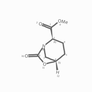 COC(=O)[C@H]1CC[C@H]2CN1C(=O)O2